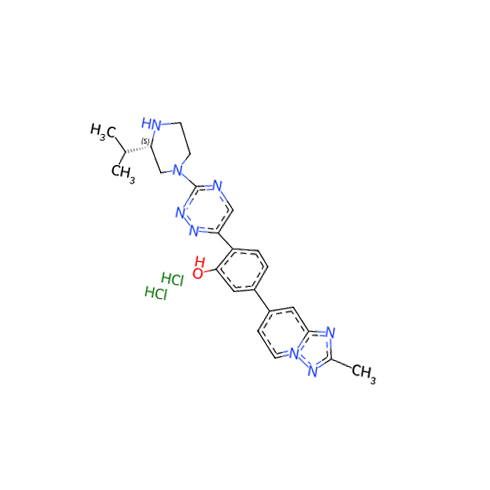 Cc1nc2cc(-c3ccc(-c4cnc(N5CCN[C@@H](C(C)C)C5)nn4)c(O)c3)ccn2n1.Cl.Cl